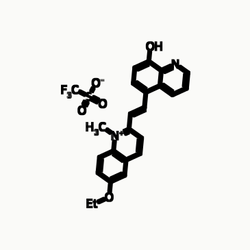 CCOc1ccc2c(ccc(C=Cc3ccc(O)c4ncccc34)[n+]2C)c1.O=S(=O)([O-])C(F)(F)F